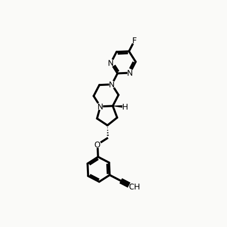 C#Cc1cccc(OC[C@H]2C[C@H]3CN(c4ncc(F)cn4)CCN3C2)c1